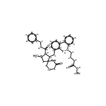 C[C@@H]1CC2(COCC(=O)N2)C(Cc2cccc(-c3ccccc3OCCCC(=O)OC(C)(C)C)c2F)N1C(=O)OCc1ccccc1